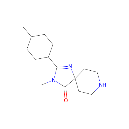 CC1CCC(C2=NC3(CCNCC3)C(=O)N2C)CC1